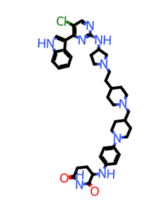 O=C1CCC(Nc2ccc(N3CCC(CN4CCC(CCN5CCC(Nc6ncc(Cl)c(-c7c[nH]c8ccccc78)n6)C5)CC4)CC3)cc2)C(=O)N1